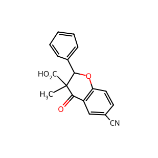 CC1(C(=O)O)C(=O)c2cc(C#N)ccc2OC1c1ccccc1